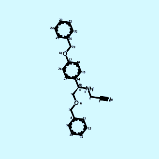 N#CCN[C@@H](COCc1ccccc1)c1ccc(OCc2ccccc2)cc1